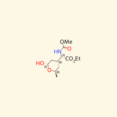 CCOC(=O)[C@@H](NC(=O)OC)[C@@H]1C[C@@H](C)O[C@H](O)C1